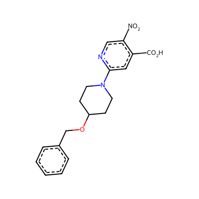 O=C(O)c1cc(N2CCC(OCc3ccccc3)CC2)ncc1[N+](=O)[O-]